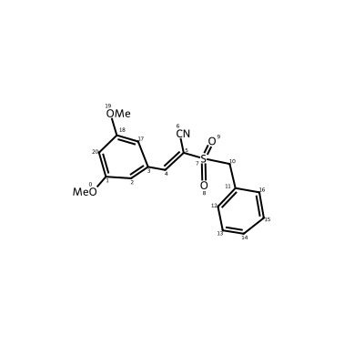 COc1cc(C=C(C#N)S(=O)(=O)Cc2ccccc2)cc(OC)c1